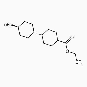 CCC[C@H]1CC[C@H](C2CCC(C(=O)OCC(F)(F)F)CC2)CC1